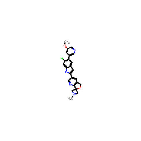 COc1cncc(-c2cc3cc(-c4cnc5c(c4)COC54CN(C)C4)[nH]c3cc2Cl)c1